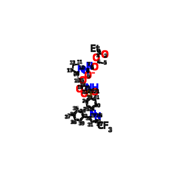 CCC(=O)OC(C)ON=[N+]([O-])N1CCC[C@H]1COC(=O)NS(=O)(=O)c1ccc(-n2nc(C(F)(F)F)cc2-c2ccc(C)cc2)cc1